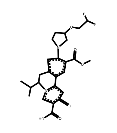 COC(=O)c1cc2c(cc1N1CCC(OCC(F)F)C1)CC(C(C)C)n1cc(C(=O)O)c(=O)cc1-2